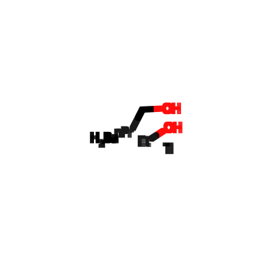 CCCCO.CCO.[BaH2].[Ti]